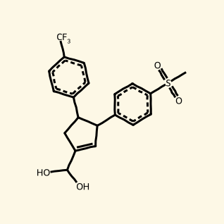 CS(=O)(=O)c1ccc(C2C=C(C(O)O)CC2c2ccc(C(F)(F)F)cc2)cc1